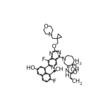 C#Cc1c(F)ccc2cc(O)cc(-c3ncc4c(N5CCC[C@](C)(O)[C@@H](NC(=O)C=C)C5)nc(OCC5(CN6CCOCC6)CC5)nc4c3F)c12